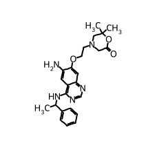 CC(Nc1ncnc2cc(OCCN3CC(=O)OC(C)(C)C3)c(N)cc12)c1ccccc1